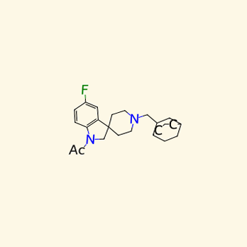 CC(=O)N1CC2(CCN(CC3CC4CCCC3CC4)CC2)c2cc(F)ccc21